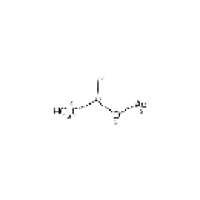 [CH2]C(=O)OC(C)C(=O)O